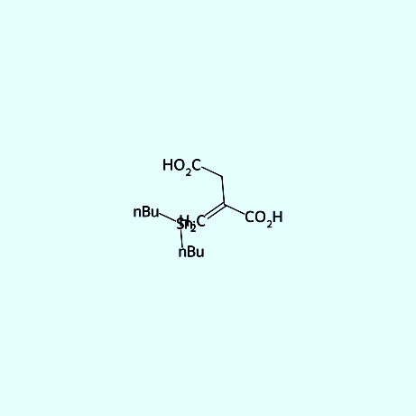 C=C(CC(=O)O)C(=O)O.CCC[CH2][Sn][CH2]CCC